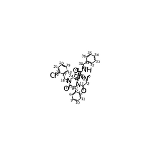 CN1CC(=O)N2[C@@H](c3ccccc3)C(=O)N(Cc3ccccc3Cl)C[C@@H]2N1C(=O)NCc1ccccc1